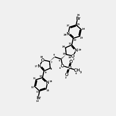 CS(=O)(=O)OC(C[C@@H]1CC(c2ccc(Br)cn2)=NO1)[C@@H]1CC(c2ccc(Br)cn2)=NO1